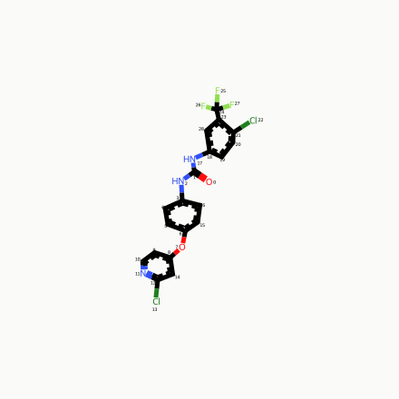 O=C(Nc1ccc(Oc2ccnc(Cl)c2)cc1)Nc1ccc(Cl)c(C(F)(F)F)c1